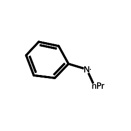 CCC[N]c1ccccc1